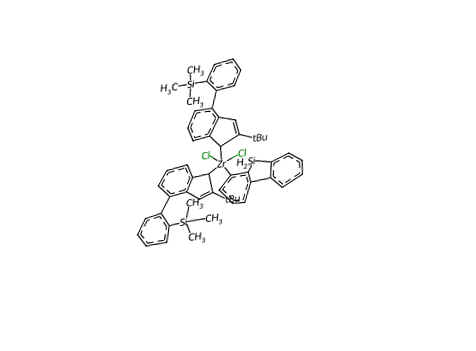 CC(C)(C)C1=Cc2c(-c3ccccc3[Si](C)(C)C)cccc2[CH]1[Zr]([Cl])([Cl])([c]1cccc2c1[SiH2]c1ccccc1-2)[CH]1C(C(C)(C)C)=Cc2c(-c3ccccc3[Si](C)(C)C)cccc21